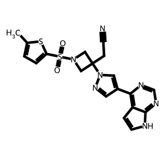 Cc1ccc(S(=O)(=O)N2CC(CC#N)(n3cc(-c4ncnc5[nH]ccc45)cn3)C2)s1